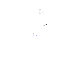 CCC(C)(C)[C@@H](C)N1C(=O)c2ccccc2C1=O